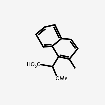 COC(C(=O)O)c1c(C)ccc2ccccc12